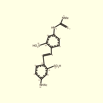 CNC(=S)Nc1ccc(C=Cc2ccc(NC(C)=O)cc2S(=O)(=O)O)c(S(=O)(=O)O)c1